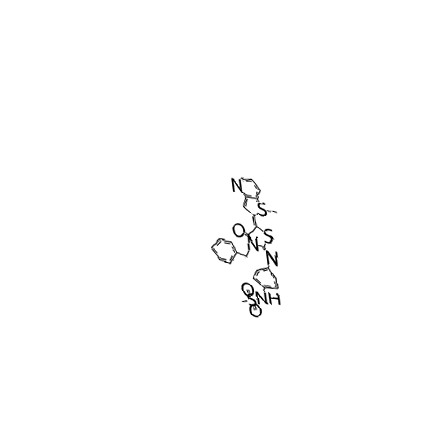 CS1=c2cccnc2=CC1=C1SC(=Nc2ccc(NS(C)(=O)=O)cc2)N(Cc2ccccc2)C1=O